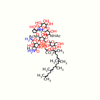 C=C(C/C=C(\C)CCC=C(C)C)CCC(C)(C)/C=C/CC/C(C)=C\CO[C@H](COP(=O)(O)O[C@H]1OC(C(N)=O)[C@@](C)(O)[C@H](OC(N)=O)C1O[C@@H]1OC(CO[C@@H]2OC(CO)[C@@H](O)C(O)[C@@H]2O)[C@@H](O[C@@H]2OC(C)[C@@H](O[C@@H]3OC(C(=O)NC4=C(O)CCC4=O)[C@H](O)C(O)[C@@H]3O)C(O)C2NC(C)=O)C(O)[C@@H]1NC(C)=O)C(=O)O